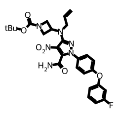 C=CCN(c1nn(-c2ccc(Oc3cccc(F)c3)cc2)c(C(N)=O)c1[N+](=O)[O-])C1CN(C(=O)OC(C)(C)C)C1